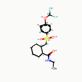 N#CCNC(=O)C1CCCCC1CS(=O)(=O)c1ccc(OC(F)F)cc1